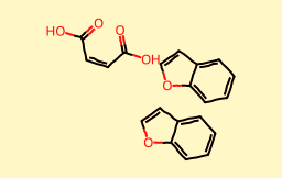 O=C(O)/C=C\C(=O)O.c1ccc2occc2c1.c1ccc2occc2c1